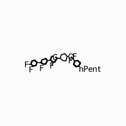 CCCCCc1ccc(C(F)(F)OC2CCC(c3ccc(-c4ccc(-c5ccc(F)c(F)c5)c(F)c4)c(F)c3)CC2)cc1